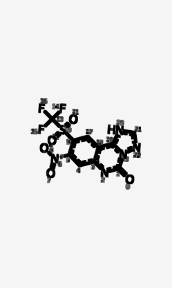 O=c1nc2cc([N+](=O)[O-])c(S(=O)(=O)C(F)(F)F)cc2c2[nH]cnn12